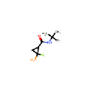 CC(C)(C)NC(=O)C1CC1(F)P